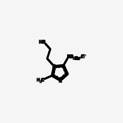 Cc1ncc([N+](=O)[O-])n1CCO.[Cl-].[Na+]